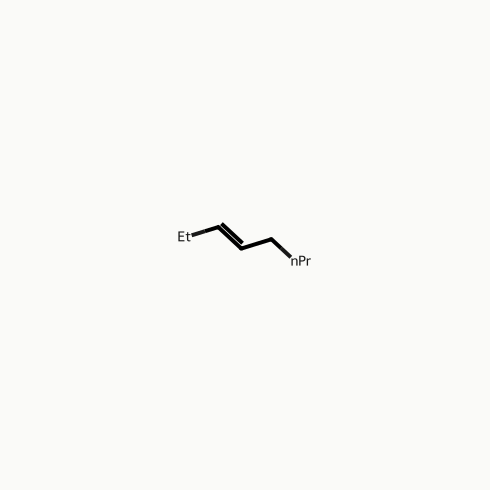 C[CH]CC/C=C/CC